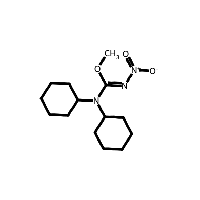 COC(=N[N+](=O)[O-])N(C1CCCCC1)C1CCCCC1